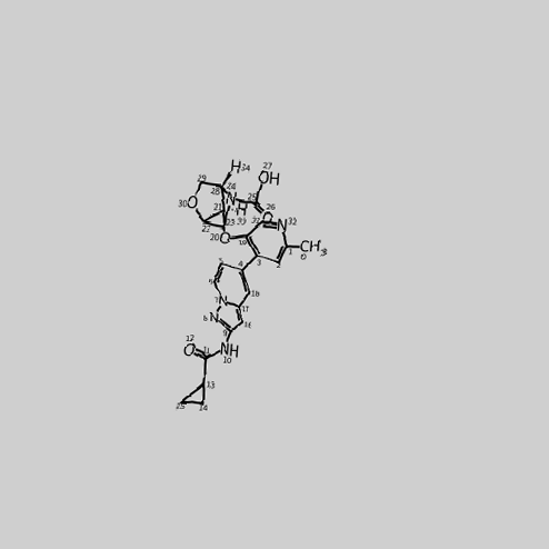 Cc1cc(-c2ccn3nc(NC(=O)C4CC4)cc3c2)c(O[C@H]2C3CN(C(=O)O)[C@H]2CO3)cn1